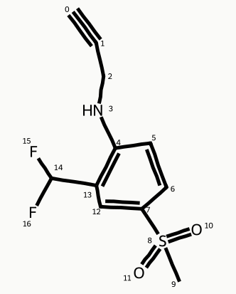 C#CCNc1ccc(S(C)(=O)=O)cc1C(F)F